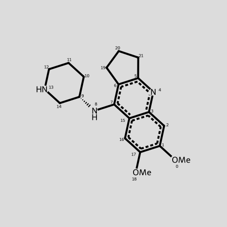 COc1cc2nc3c(c(N[C@H]4CCCNC4)c2cc1OC)CCC3